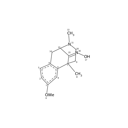 COc1ccc2c(c1)C1(C)CCN(C)C(C2)C1=NO